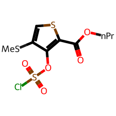 CCCOC(=O)c1scc(SC)c1OS(=O)(=O)Cl